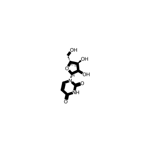 O=c1ccn([C@@H]2O[C@H](CO)[C@@H](O)C2O)c(=O)[nH]1